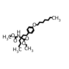 CCCCCCCOc1ccc(CCC(CCCC)(NC(=O)OC)C(=O)OCC)cc1